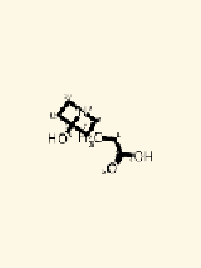 CCC(=O)O.OC12CCN1CC2